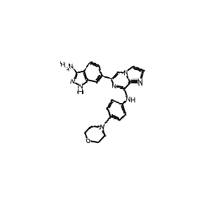 Nc1n[nH]c2cc(-c3cn4ccnc4c(Nc4ccc(N5CCOCC5)cc4)n3)ccc12